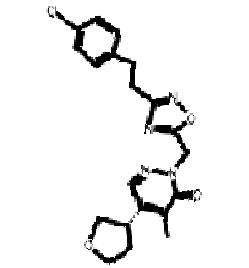 Cc1c([C@@H]2CCOC2)cnn(Cc2nc(CCc3ccc(Cl)cc3)no2)c1=O